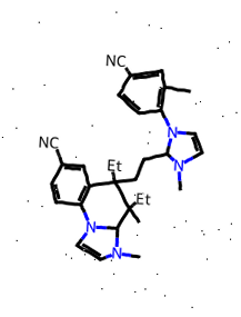 CCC1(CCC2N(C)C=CN2c2ccc(C#N)cc2C)c2cc(C#N)ccc2N2C=CN(C)C2C1(C)CC